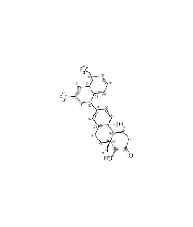 CN1C(=O)CC[C@]2(C)c3ccc(-c4cc(C(F)(F)F)nc5c(C(F)(F)F)cccc45)cc3CC[C@@H]12